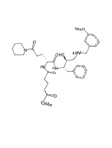 COC(=O)CCCC(=O)N[C@H](CCC(=O)N1CCCCC1)C(=O)N[C@@H](Cc1ccccc1)[C@@H](O)CNCc1cccc(OC)c1